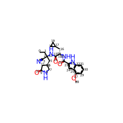 CCC(C#N)(C[C@H]1CNC(=O)C1)NC(=O)[C@H](CC1CC1)NC(=O)c1cc2c(OC)cccc2[nH]1